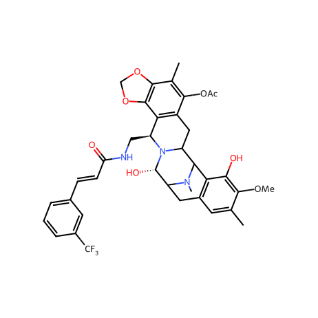 COc1c(C)cc2c(c1O)C1C3Cc4c(OC(C)=O)c(C)c5c(c4[C@H](CNC(=O)/C=C/c4cccc(C(F)(F)F)c4)N3[C@@H](O)C(C2)N1C)OCO5